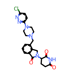 O=C1CCC(N2Cc3c(CN4CCN(c5ccc(Cl)nn5)CC4)cccc3C2=O)C(=O)N1